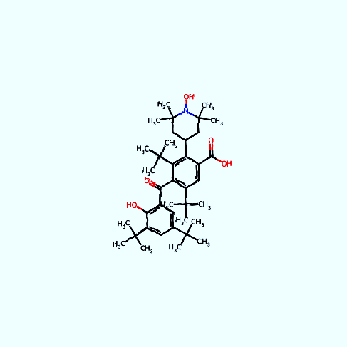 CC(C)(C)c1cc(C(=O)c2c(C(C)(C)C)cc(C(=O)O)c(C3CC(C)(C)N(O)C(C)(C)C3)c2C(C)(C)C)c(O)c(C(C)(C)C)c1